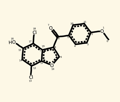 COc1ccc(C(=O)c2coc3c(Cl)cc(O)c(Cl)c23)cc1